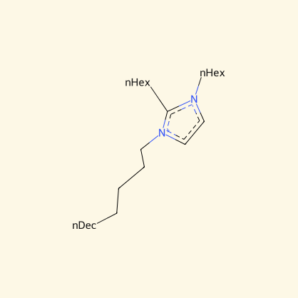 CCCCCCCCCCCCCC[n+]1ccn(CCCCCC)c1CCCCCC